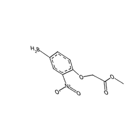 Bc1ccc(OCC(=O)OC)c([N+](=O)[O-])c1